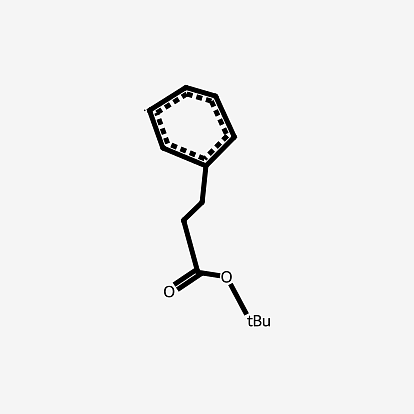 CC(C)(C)OC(=O)CCc1c[c]ccc1